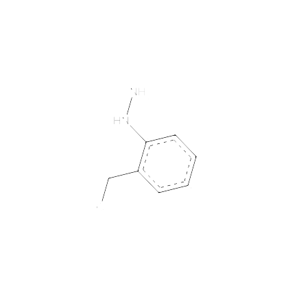 NNc1ccccc1CO